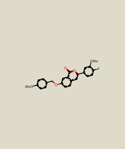 COc1ccc(COc2ccc3cc(-c4ccc(F)c(OC)c4)oc(=O)c3c2)cc1